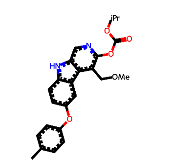 COCc1c(OC(=O)OC(C)C)ncc2[nH]c3ccc(Oc4ccc(C)cc4)cc3c12